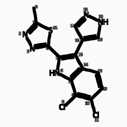 Cc1nnc(-c2[nH]c3c(Cl)c(Cl)ccc3c2-c2cn[nH]c2)s1